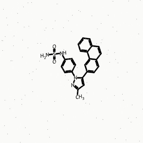 Cc1cc(-c2ccc3ccc4ccccc4c3c2)n(-c2ccc(NS(N)(=O)=O)cc2)n1